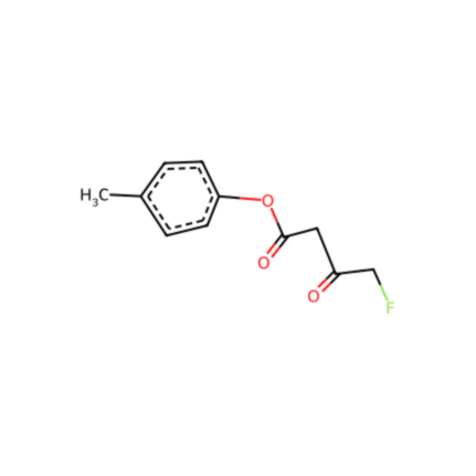 Cc1ccc(OC(=O)CC(=O)CF)cc1